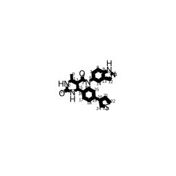 CC1=C(C(=O)Nc2ccc3[nH]ncc3c2)C(c2ccc(-c3ccsc3)cc2)NC(=O)N1